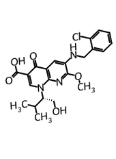 COc1nc2c(cc1NCc1ccccc1Cl)c(=O)c(C(=O)O)cn2[C@H](CO)C(C)C